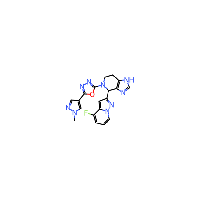 Cn1cc(-c2nnc(N3CCc4[nH]cnc4C3c3cc4c(F)cccn4n3)o2)cn1